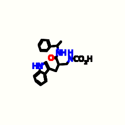 CC(NC(=O)C(CNC(=O)O)Cc1c[nH]c2ccccc12)c1ccccc1